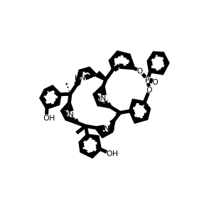 CC12c3cccc(c3)OP(=O)(c3ccccc3)Oc3cccc(c3)C(C)(c3ccc1[nH]3)c1ccc([nH]1)[C@](C)(c1cccc(O)c1)c1ccc([nH]1)C(C)(c1cccc(O)c1)c1ccc2[nH]1